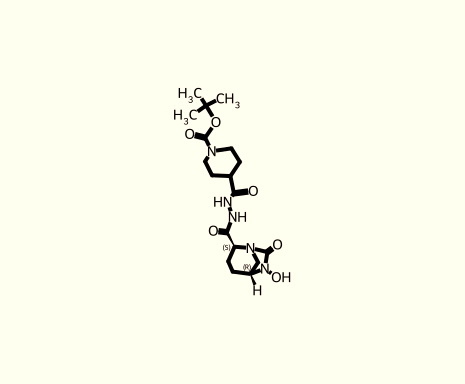 CC(C)(C)OC(=O)N1CCC(C(=O)NNC(=O)[C@@H]2CC[C@@H]3CN2C(=O)N3O)CC1